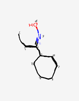 CC/C(=N\O)C1CCCCC1